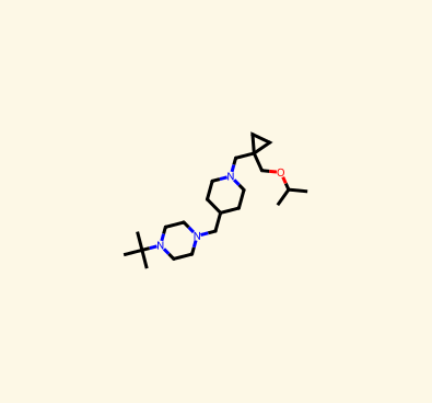 CC(C)OCC1(CN2CCC(CN3CCN(C(C)(C)C)CC3)CC2)CC1